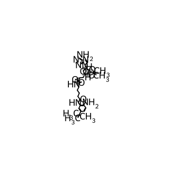 CC1(C)O[C@@H]2[C@H](O1)[C@@H](CCS(=O)(=O)NCCCCC(=O)Nc1cc(C(C)(C)C)ccc1N)O[C@H]2n1cnc2c(N)ncnc21